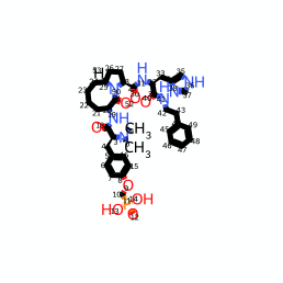 CN(C)[C@@H](Cc1ccc(OCP(=O)(O)O)cc1)C(=O)NC1CCCC[C@H]2CC[C@@H](C(=O)N[C@@H](Cc3c[nH]cn3)C(=O)NCCc3ccccc3)N2C1=O